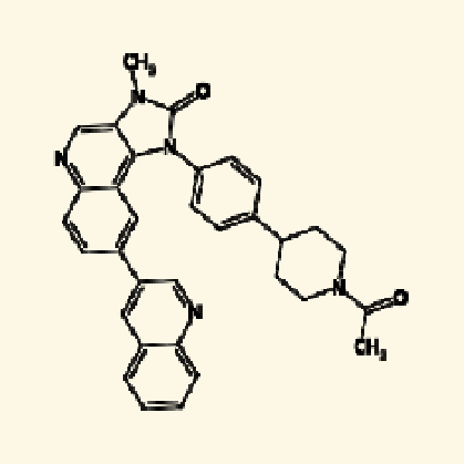 CC(=O)N1CCC(c2ccc(-n3c(=O)n(C)c4cnc5ccc(-c6cnc7ccccc7c6)cc5c43)cc2)CC1